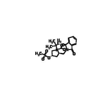 CC(C)(C)[N+]1(C(=O)[O-])C[C@@H](OS(C)(=O)=O)C[C@@H]1CN1C(=O)c2ccccc2C1=O